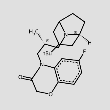 CCCCC1CC2CC[C@@H](C1)N2C[C@@H](C)CN1C(=O)COc2ccc(F)cc21